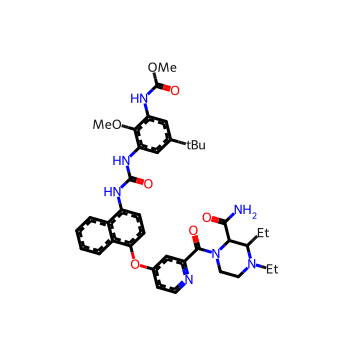 CCC1C(C(N)=O)N(C(=O)c2cc(Oc3ccc(NC(=O)Nc4cc(C(C)(C)C)cc(NC(=O)OC)c4OC)c4ccccc34)ccn2)CCN1CC